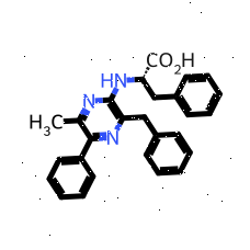 Cc1nc(N[C@@H](Cc2ccccc2)C(=O)O)c(Cc2ccccc2)nc1-c1ccccc1